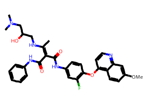 COc1ccc2c(Oc3ccc(NC(=O)/C(C(=O)Nc4ccccc4)=C(\C)NCC(O)CN(C)C)cc3F)ccnc2c1